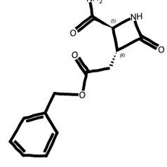 NC(=O)[C@H]1NC(=O)[C@@H]1CC(=O)OCc1ccccc1